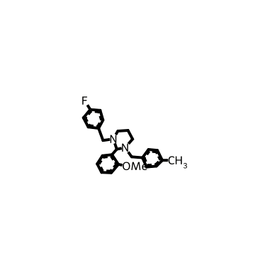 COc1ccccc1C1N(Cc2ccc(C)cc2)CCCN1Cc1ccc(F)cc1